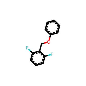 Fc1cccc(F)c1COc1ccccc1